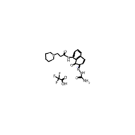 NC(=O)N/N=C1\C=Cc2cccc(NC(=O)CCN3CCCCC3)c2C1=O.O=C(O)C(F)(F)F